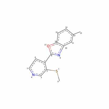 CSc1cnccc1-c1nc2cc(C)ccc2o1